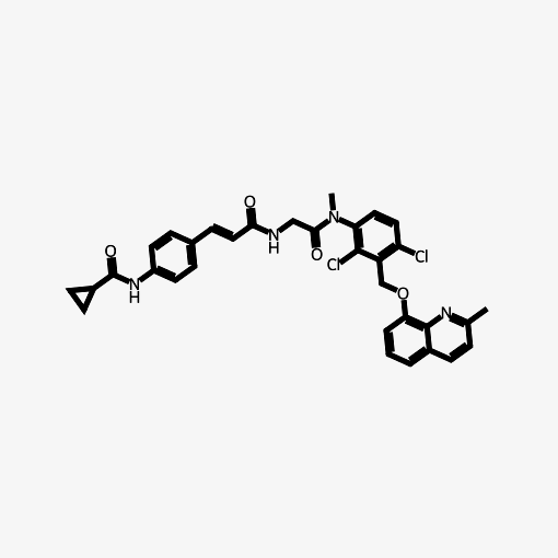 Cc1ccc2cccc(OCc3c(Cl)ccc(N(C)C(=O)CNC(=O)C=Cc4ccc(NC(=O)C5CC5)cc4)c3Cl)c2n1